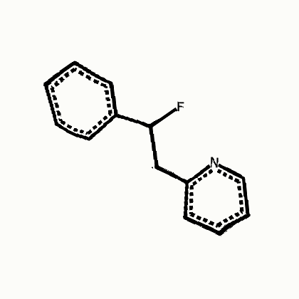 FC([CH]c1ccccn1)c1ccccc1